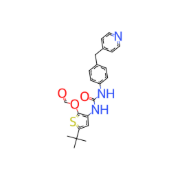 CC(C)(C)c1cc(NC(=O)Nc2ccc(Cc3ccncc3)cc2)c(OC=O)s1